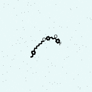 C=Cc1ccc(CCCCCCCCOc2ccc(C=CC(=O)c3ccc(F)cc3)cc2)cc1